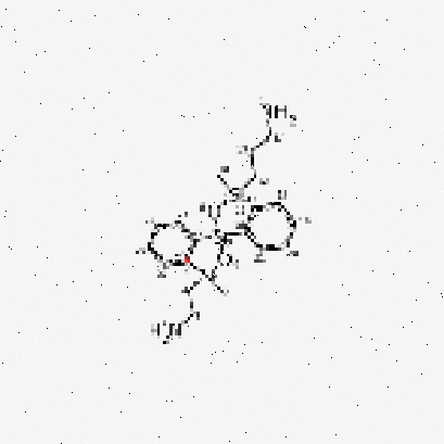 C[Si](C)(CCN)O[Si](O[Si](C)(C)CCCN)(c1ccccc1)c1ccccc1